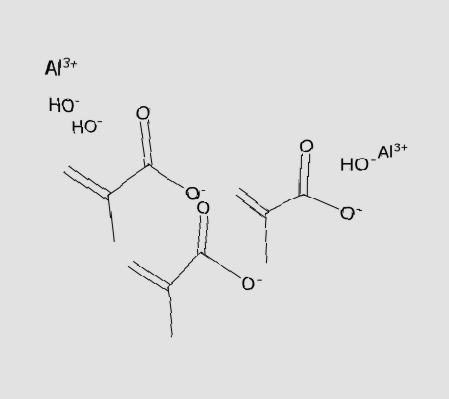 C=C(C)C(=O)[O-].C=C(C)C(=O)[O-].C=C(C)C(=O)[O-].[Al+3].[Al+3].[OH-].[OH-].[OH-]